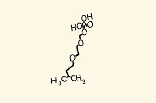 CC(C)CCOCCOCOP(=O)(O)O